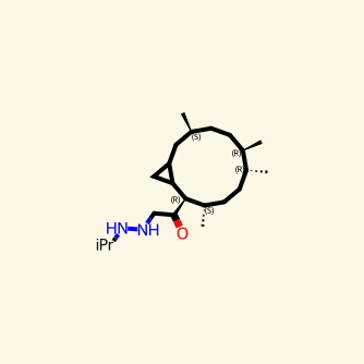 CC(C)NNCC(=O)[C@H]1C2CC2C[C@@H](C)CC[C@@H](C)[C@H](C)CC[C@@H]1C